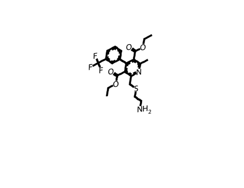 CCOC(=O)c1c(C)nc(CSCCN)c(C(=O)OCC)c1-c1cccc(C(F)(F)F)c1